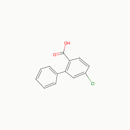 O=C(O)c1[c]cc(Cl)cc1-c1ccccc1